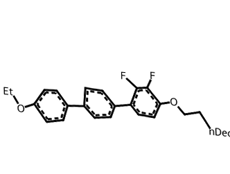 CCCCCCCCCCCCOc1ccc(-c2ccc(-c3ccc(OCC)cc3)cc2)c(F)c1F